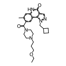 CCOCCCN1CCN(C(=O)c2cc3c(cc2C)[nH]c(=O)c2cnn(CC4CCC4)c23)CC1